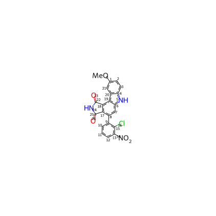 COc1ccc2[nH]c3cc(-c4cccc([N+](=O)[O-])c4Cl)c4c(c3c2c1)C(=O)NC4=O